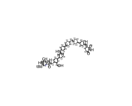 CC(=N)N/C(=C\NC(C)(C)C)C(=O)NCc1ccc(-c2ccnc(Nc3ccc(N4CCC(CN5CCC(c6ccc(NC7CCC(=O)NC7=O)cc6)CC5)CC4)cc3)n2)cc1CO